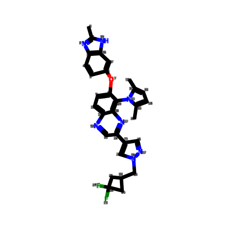 Cc1nc2ccc(Oc3ccc4ncc(-c5cnn(CC6CC(F)(F)C6)c5)nc4c3-n3c(C)ccc3C)cc2[nH]1